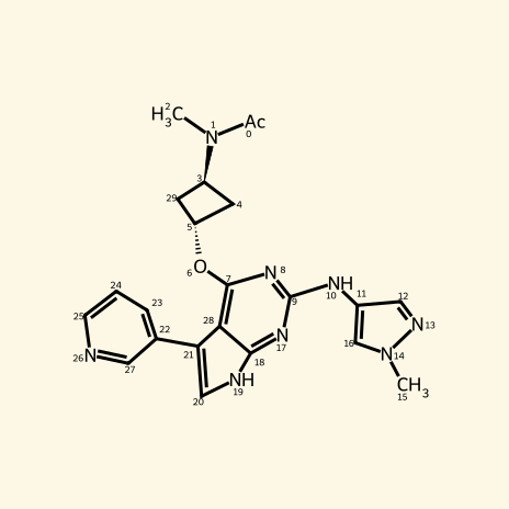 CC(=O)N(C)[C@H]1C[C@H](Oc2nc(Nc3cnn(C)c3)nc3[nH]cc(-c4cccnc4)c23)C1